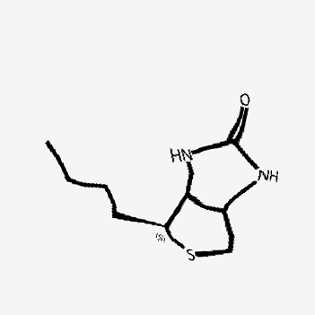 CCCC[C@@H]1SCC2NC(=O)NC21